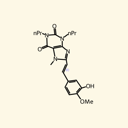 CCCn1c(=O)c2c(nc(/C=C/c3ccc(OC)c(O)c3)n2C)n(CCC)c1=O